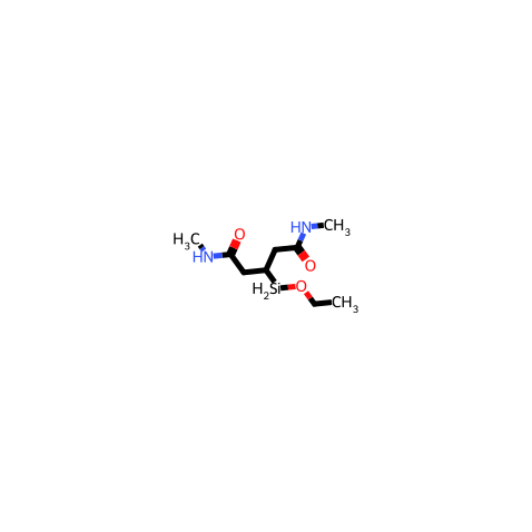 CCO[SiH2]C(CC(=O)NC)CC(=O)NC